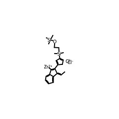 CC=C1C(C2=CC([Si](C)(C)CCO[Si](C)(C)C)=CC2)=[C]([Zr+2])c2ccccc21.[Cl-].[Cl-]